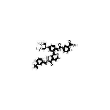 CCN(CC)c1ccc(NC(=O)c2cccc(C(=O)O)c2)c(-c2cc(C(=O)NCc3cccc(C(F)(F)F)c3)ccn2)c1